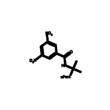 CCCCCC(C)(C)NC(=O)c1cc([N+](=O)[O-])cc([N+](=O)[O-])c1